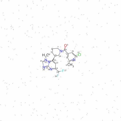 Cc1cc(C(=O)N2CC[C@@H](C)[C@H](c3cc(C(F)F)nc4ncnn34)C2)cc(Cl)n1